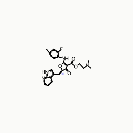 Cc1ccc(NC2=C(C(=O)OCCN(C)C)C(=O)/C(=C/c3c[nH]c4ncccc34)O2)c(F)c1